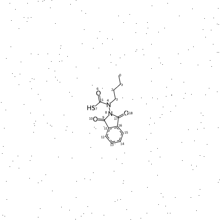 CCCCN(C(=O)S)N1C(=O)c2ccccc2C1=O